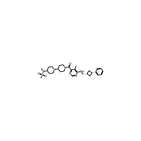 Cc1c(NC[C@H]2C[C@@H](c3ccccc3)C2)ncnc1C(=O)N1CCC(N2CCC(N(C)S(C)(=O)=O)CC2)CC1